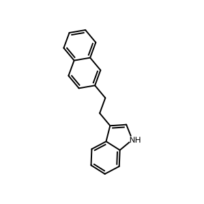 c1ccc2cc(CCc3c[nH]c4ccccc34)ccc2c1